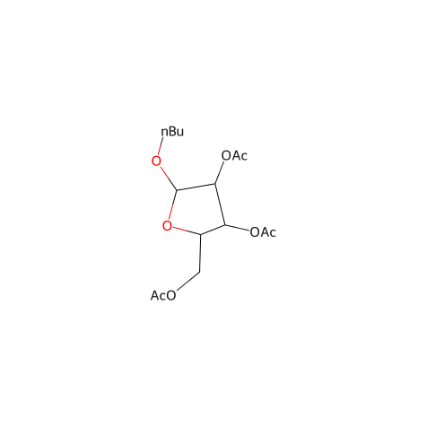 CCCCOC1OC(COC(C)=O)C(OC(C)=O)C1OC(C)=O